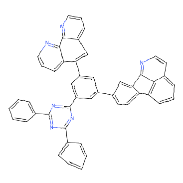 c1ccc(-c2nc(-c3ccccc3)nc(-c3cc(-c4ccc5c(c4)-c4nccc6cccc-5c46)cc(-c4cc5cccnc5c5ncccc45)c3)n2)cc1